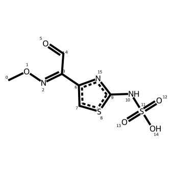 CON=C([C]=O)c1csc(NS(=O)(=O)O)n1